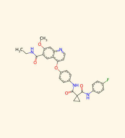 CCNC(=O)c1cc2c(Oc3ccc(NC(=O)C4(C(=O)Nc5ccc(F)cc5)CC4)cc3)ccnc2cc1OC